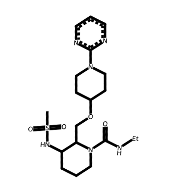 CCNC(=O)N1CCCC(NS(C)(=O)=O)C1COC1CCN(c2ncccn2)CC1